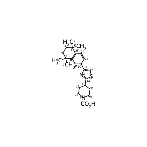 CC1(C)CCC(C)(C)c2cc(-c3csc(C4CCN(C(=O)O)CC4)n3)ccc21